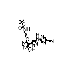 COc1ncnc(OCCCNC(=O)OC(C)(C)C)c1-c1cc(Nc2cnc(C#N)cn2)n[nH]1